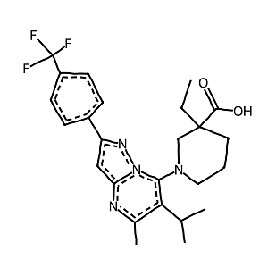 CCC1(C(=O)O)CCCN(c2c(C(C)C)c(C)nc3cc(-c4ccc(C(F)(F)F)cc4)nn23)C1